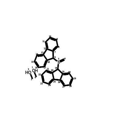 CO.CO.[CH2]=[Ti]([CH]1c2ccccc2-c2ccccc21)[CH]1c2ccccc2-c2ccccc21